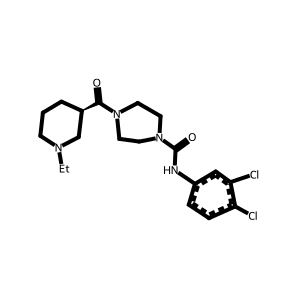 CCN1CCC[C@@H](C(=O)N2CCN(C(=O)Nc3ccc(Cl)c(Cl)c3)CC2)C1